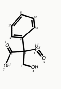 O=[PH2]C(CO)(C(=O)O)c1ccccc1